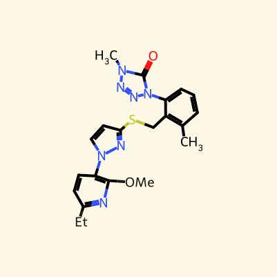 CCc1ccc(-n2ccc(SCc3c(C)cccc3-n3nnn(C)c3=O)n2)c(OC)n1